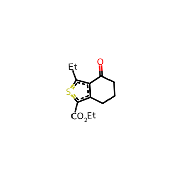 CCOC(=O)c1sc(CC)c2c1CCCC2=O